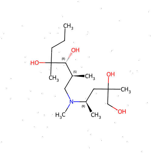 CCCC(C)(O)[C@H](O)[C@@H](C)CN(C)[C@H](C)CC(C)(O)CO